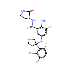 Nc1c(F)cc(NC2(c3c(F)ccc(Cl)c3Cl)CCNC2)cc1C(=O)NC1CCNC1=O